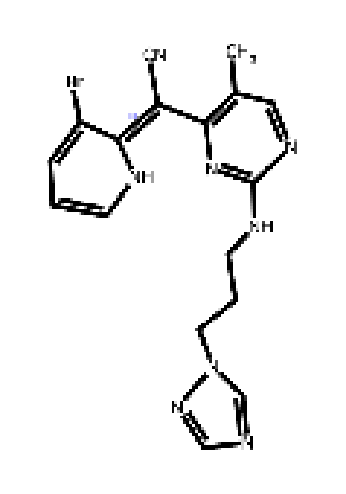 Cc1cnc(NCCCn2cncn2)nc1/C(C#N)=C1\NC=CC=C1Br